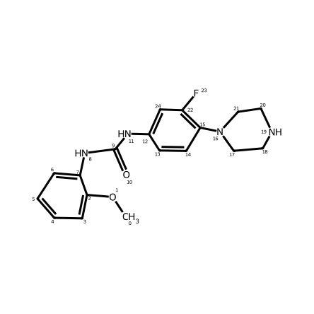 COc1ccccc1NC(=O)Nc1ccc(N2CCNCC2)c(F)c1